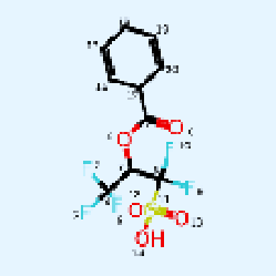 O=C(OC(C(F)(F)F)C(F)(F)S(=O)(=O)O)C1C=CCC=C1